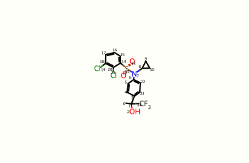 CC(O)(c1ccc(N(C2CC2)S(=O)(=O)c2cccc(Cl)c2Cl)cc1)C(F)(F)F